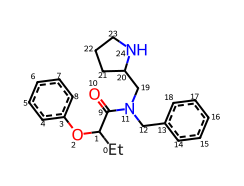 CCC(Oc1ccccc1)C(=O)N(Cc1ccccc1)CC1CCCN1